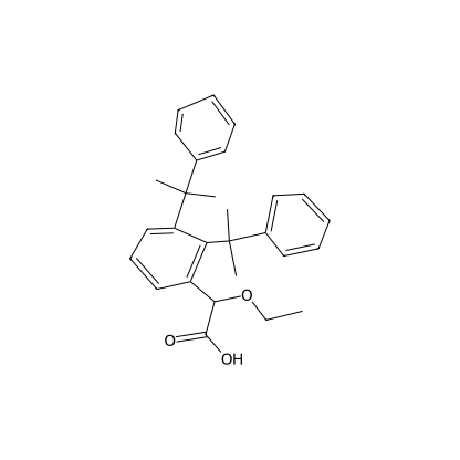 CCOC(C(=O)O)c1cccc(C(C)(C)c2ccccc2)c1C(C)(C)c1ccccc1